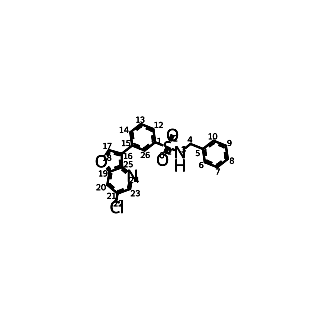 O=S(=O)(NCc1ccccc1)c1cccc(-c2coc3cc(Cl)cnc23)c1